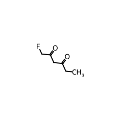 CCC(=O)CC(=O)CF